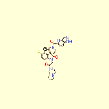 Cc1c(F)ccc2c1C1(CCN(C(=O)c3ccc4[nH]ncc4n3)CC1)C(=O)N2CC(=O)N1CCN2CCCC2C1